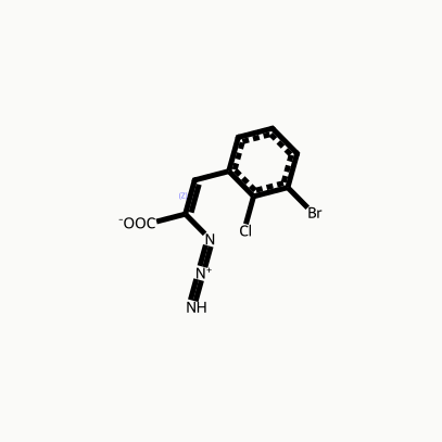 N=[N+]=N/C(=C\c1cccc(Br)c1Cl)C(=O)[O-]